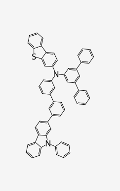 c1ccc(-c2cc(-c3ccccc3)cc(N(c3cccc(-c4cccc(-c5ccc6c7ccccc7n(-c7ccccc7)c6c5)c4)c3)c3ccc4c(c3)sc3ccccc34)c2)cc1